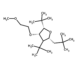 COCCO[C@H]1C(C(C)(C)C)[C@@H](CC(C)(C)C)O[C@H]1C(C)(C)C